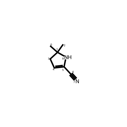 CC1(C)CC=C(C#N)N1